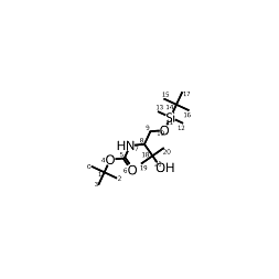 CC(C)(C)OC(=O)NC(CO[Si](C)(C)C(C)(C)C)C(C)(C)O